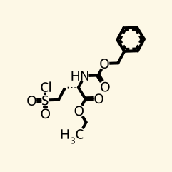 CCOC(=O)[C@H](CCS(=O)(=O)Cl)NC(=O)OCc1ccccc1